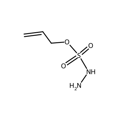 C=CCOS(=O)(=O)NN